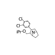 CC(C)OCC1C(c2ccc(Cl)c(Cl)c2)CC2CCC1N2C